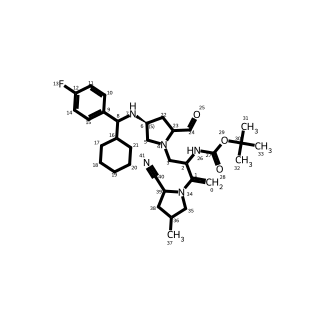 C=C(C(CN1C[C@@H](NC(c2ccc(F)cc2)C2CCCCC2)CC1C=O)NC(=O)OC(C)(C)C)N1CC(C)CC1C#N